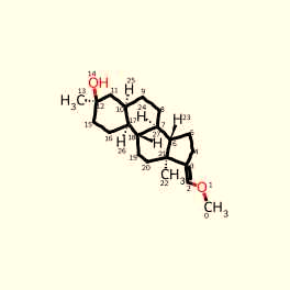 CO/C=C1\CC[C@H]2[C@@H]3CC[C@@H]4C[C@](C)(O)CC[C@@H]4[C@H]3CC[C@]12C